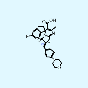 CCC1(c2ccc(F)cc2)C(C(=O)O)=C(C)N=c2s/c(=C\c3ccc(N4CCOCC4)cc3)c(=O)n21